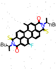 CCCC[C@H](C)N1C(=O)c2cc(C)c3c4ccc5c6c(cc(F)c(c7ccc(c2c73)C1=S)c64)C(=O)N([C@@H](C)CCCC)C5=S